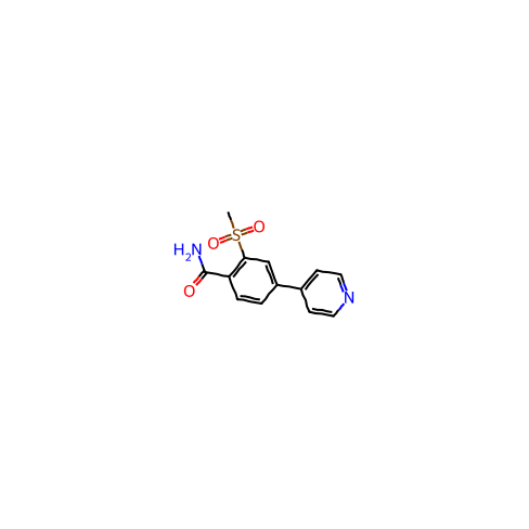 CS(=O)(=O)c1cc(-c2ccncc2)ccc1C(N)=O